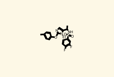 CCn1c(C(C)NS(=O)(=O)c2ccc(F)c(F)c2)cnc1Oc1ccc(C)cc1